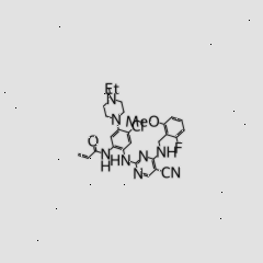 C=CC(=O)Nc1cc(N2CCN(CC)CC2)c(Cl)cc1Nc1ncc(C#N)c(NCc2c(F)cccc2OC)n1